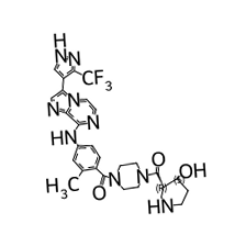 Cc1cc(Nc2nccn3c(-c4c[nH]nc4C(F)(F)F)cnc23)ccc1C(=O)N1CCN(C(=O)[C@@H]2CNCC[C@@H]2O)CC1